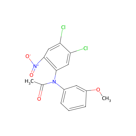 COc1cccc(N(C(C)=O)c2cc(Cl)c(Cl)cc2[N+](=O)[O-])c1